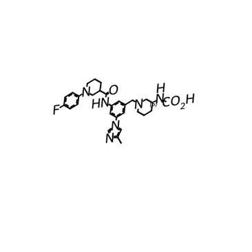 Cc1cn(-c2cc(CN3CCC[C@H](NC(=O)O)C3)cc(NC(=O)C3CCCN(c4ccc(F)cc4)C3)c2)cn1